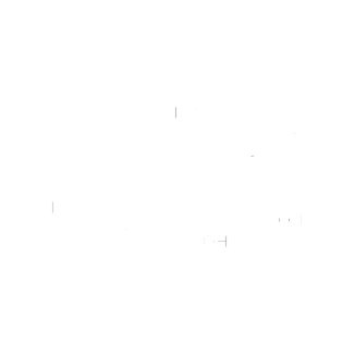 CCC/C(O)=C(\C)C(=O)O